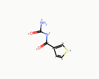 NC(=O)[N]C(=O)c1ccsc1